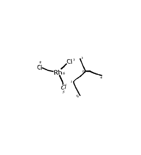 CC[C](C)C.[Cl][Rh]([Cl])[Cl]